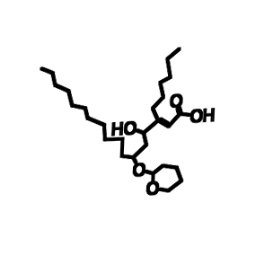 CCCCCCCCCCCC(CC(O)C(=CC(=O)O)CCCCCC)OC1CCCCO1